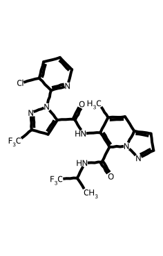 Cc1cc2ccnn2c(C(=O)NC(C)C(F)(F)F)c1NC(=O)c1cc(C(F)(F)F)nn1-c1ncccc1Cl